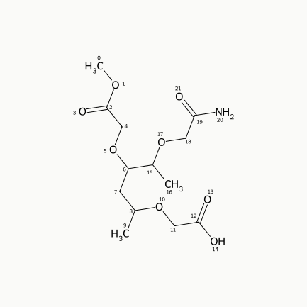 COC(=O)COC(CC(C)OCC(=O)O)C(C)OCC(N)=O